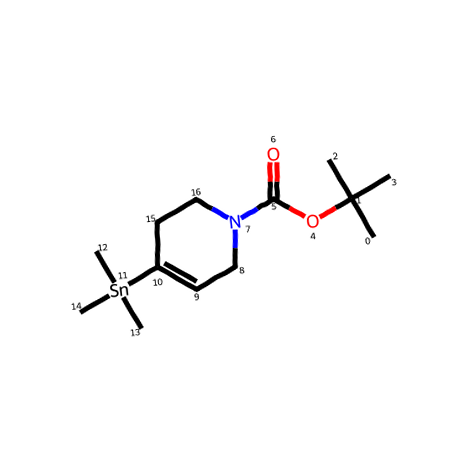 CC(C)(C)OC(=O)N1CC=[C]([Sn]([CH3])([CH3])[CH3])CC1